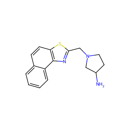 NC1CCN(Cc2nc3c(ccc4ccccc43)s2)C1